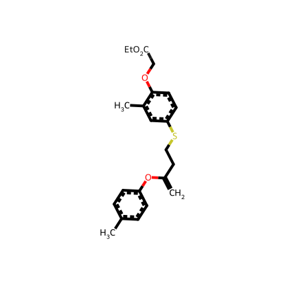 C=C(CCSc1ccc(OCC(=O)OCC)c(C)c1)Oc1ccc(C)cc1